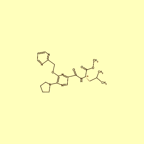 COC(=O)[C@H](CC(C)C)NC(=O)c1cnc(N2CCCC2)c(OCc2ncccn2)n1